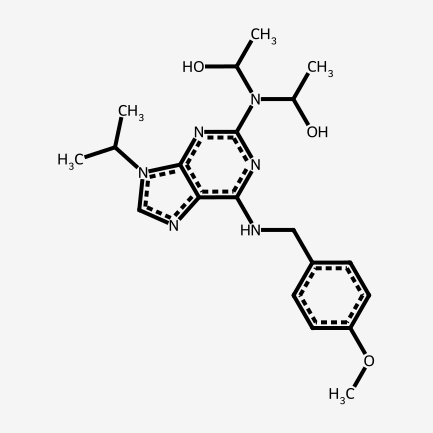 COc1ccc(CNc2nc(N(C(C)O)C(C)O)nc3c2ncn3C(C)C)cc1